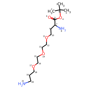 CC(C)(C)OC(=O)C(N)CCOCCOCCOCCCN